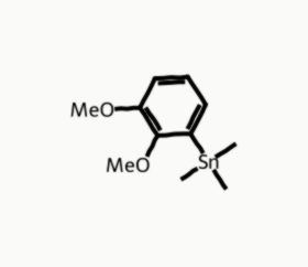 COc1ccc[c]([Sn]([CH3])([CH3])[CH3])c1OC